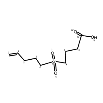 C=CCCCS(=O)(=O)CCCC(=O)O